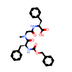 CN(CC(=O)N[C@@H](Cc1ccccc1)C(=O)O)C(=O)[C@H](Cc1ccccc1)NC(=O)OCc1ccccc1